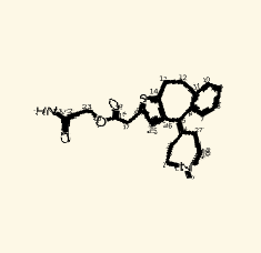 CN1CCC(=C2c3ccccc3CCc3sc(CC(=O)OCC([NH])=O)cc32)CC1